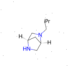 CC(C)CN1C[C@H]2C[C@@H]1CN2